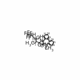 CCC(C(=O)NCC(F)(F)C(F)(F)F)C(=O)NC1C(=O)N(C)c2ccccc2-c2ccccc21